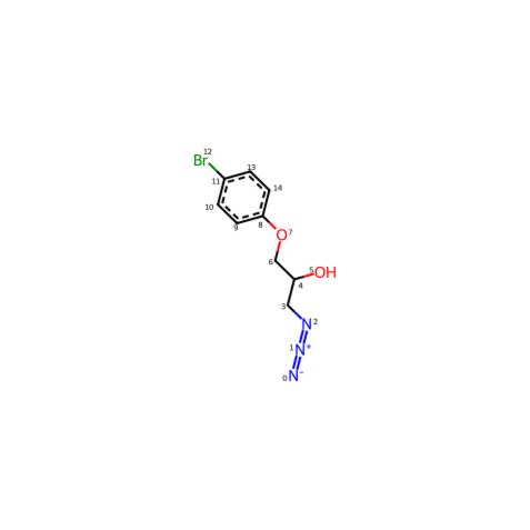 [N-]=[N+]=NCC(O)COc1ccc(Br)cc1